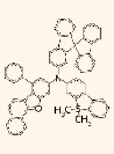 CS1(C)c2ccccc2-c2ccc(N(c3ccc4c(c3)C3(c5ccccc5-c5ccccc53)c3ccccc3-4)c3cc(-c4ccccc4)c4c(c3)oc3c5ccccc5ccc34)cc21